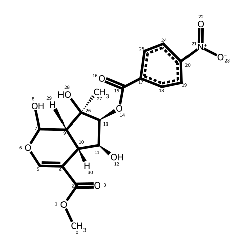 COC(=O)C1=COC(O)[C@H]2[C@@H]1[C@H](O)[C@H](OC(=O)c1ccc([N+](=O)[O-])cc1)[C@]2(C)O